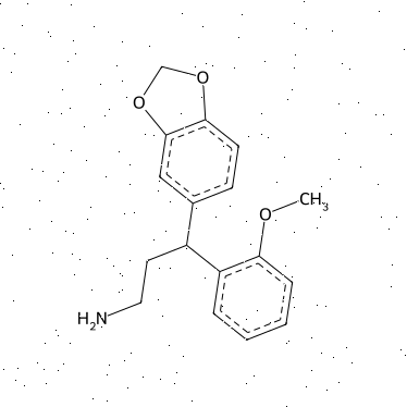 COc1ccccc1C(CCN)c1ccc2c(c1)OCO2